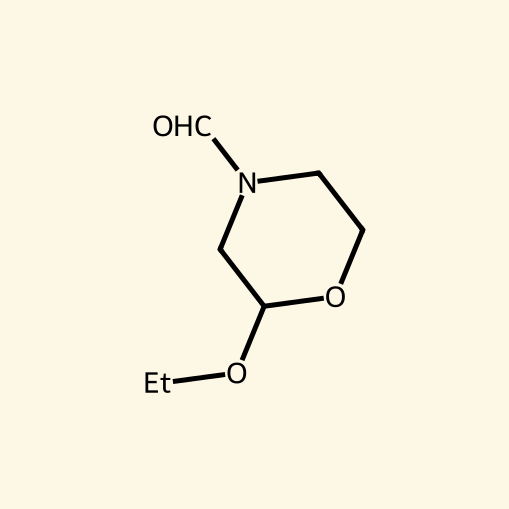 CCOC1CN(C=O)CCO1